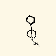 C[N+]12CCC(c3ccccc3)(CC1)CC2